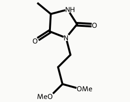 COC(CCN1C(=O)NC(C)C1=O)OC